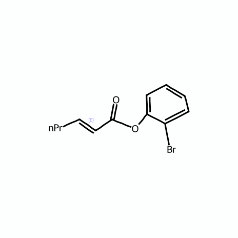 CCC/C=C/C(=O)Oc1ccccc1Br